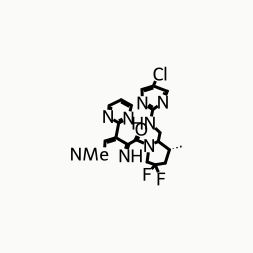 CN/C=C(\C(=N)C(=O)N1CC(F)(F)C[C@@H](C)C1CNc1ncc(Cl)cn1)c1ncccn1